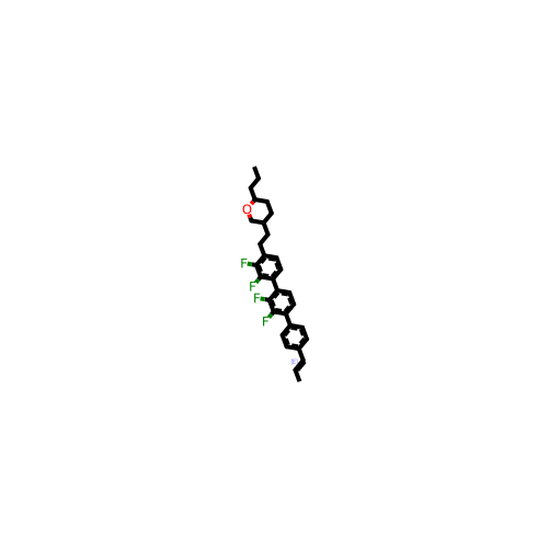 C/C=C/c1ccc(-c2ccc(-c3ccc(CCC4CCC(CCC)OC4)c(F)c3F)c(F)c2F)cc1